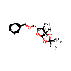 C[C@H]1[C@@H]2OC(C)(C)OC2O[C@@H]1COCc1ccccc1